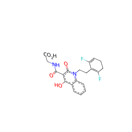 O=C(O)CNC(=O)c1c(O)c2ccccc2n(CCC2=C(F)CCC=C2F)c1=O